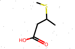 CSC(C)[CH]C(=O)O